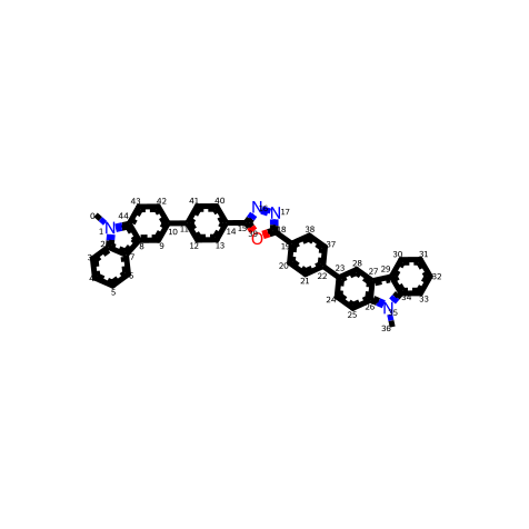 Cn1c2ccccc2c2cc(-c3ccc(-c4nnc(-c5ccc(-c6ccc7c(c6)c6ccccc6n7C)cc5)o4)cc3)ccc21